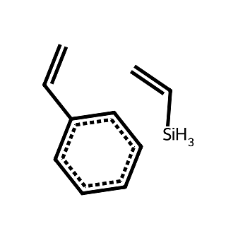 C=C[SiH3].C=Cc1ccccc1